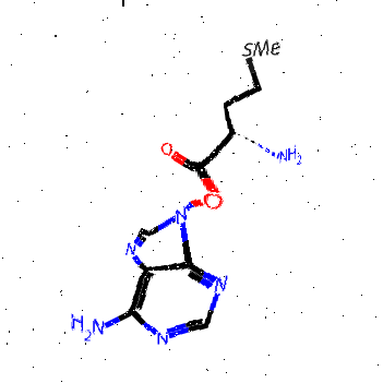 CSCC[C@H](N)C(=O)On1cnc2c(N)ncnc21